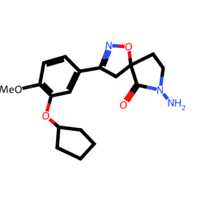 COc1ccc(C2=NOC3(CCN(N)C3=O)C2)cc1OC1CCCC1